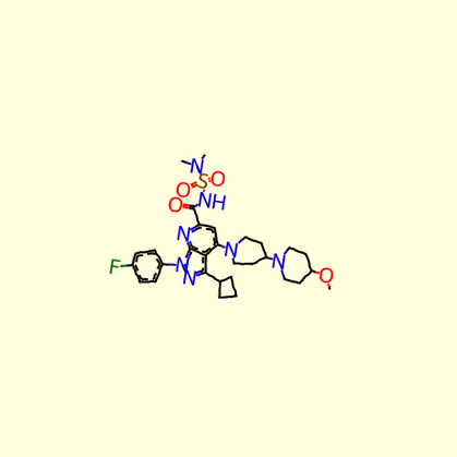 COC1CCN(C2CCN(c3cc(C(=O)NS(=O)(=O)N(C)C)nc4c3c(C3CCC3)nn4-c3ccc(F)cc3)CC2)CC1